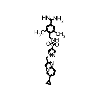 Cc1cc(C(=N)N)cc(C)c1CNS(=O)(=O)c1cnn(Cc2cn3cc(C4CC4)ccc3n2)c1